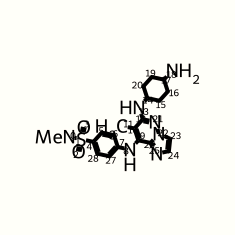 CNS(=O)(=O)c1ccc(Nc2c(C)c(NC3CCC(N)CC3)nn3ccnc23)cc1